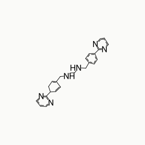 C1=CC(c2ncccn2)CC=C1CNCCNCc1ccc(-c2ncccn2)cc1